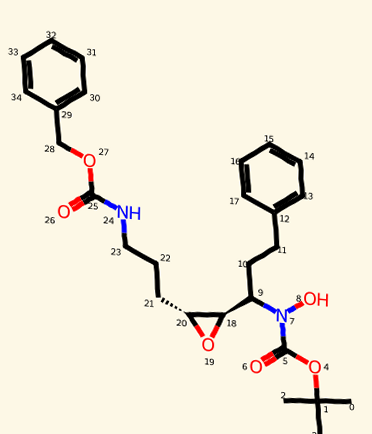 CC(C)(C)OC(=O)N(O)C(CCc1ccccc1)[C@H]1O[C@@H]1CCCNC(=O)OCc1ccccc1